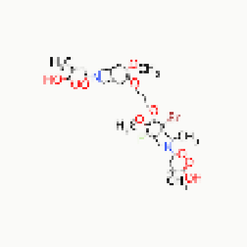 COc1cc2c(cc1OCCCOc1c(Br)c3c(c(F)c1OC)CN(C(=O)C[C@H](C)C(=O)O)C3C)CN(C(=O)C[C@H](C)C(=O)O)C2